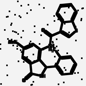 CNc1cc(NC(=O)c2csc3ccccc23)c2c(c1)C(=O)NC2c1ccccc1C